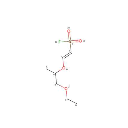 CCOCC(C)OC=CS(=O)(=O)F